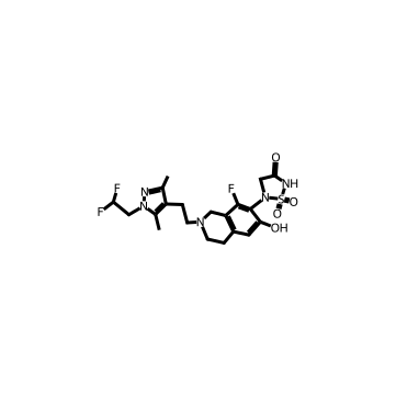 Cc1nn(CC(F)F)c(C)c1CCN1CCc2cc(O)c(N3CC(=O)NS3(=O)=O)c(F)c2C1